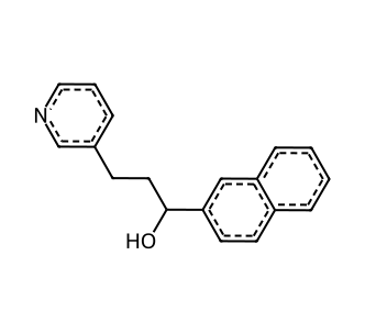 OC(CCc1cccnc1)c1ccc2ccccc2c1